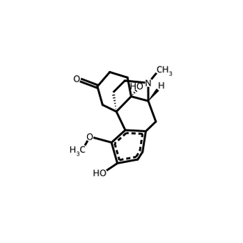 COc1c(O)ccc2c1[C@]13CCN(C)[C@H](C2)[C@]1(O)CCC(=O)C3